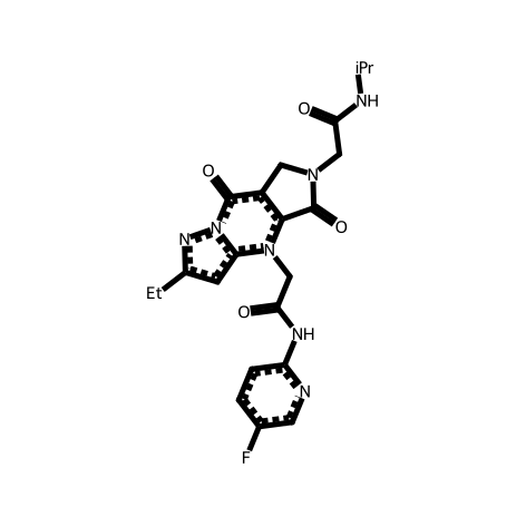 CCc1cc2n(CC(=O)Nc3ccc(F)cn3)c3c(c(=O)n2n1)CN(CC(=O)NC(C)C)C3=O